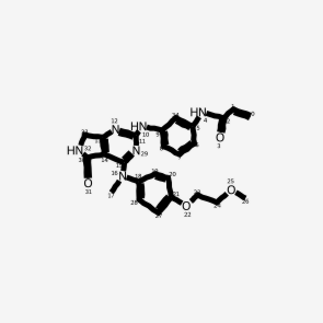 C=CC(=O)Nc1cccc(Nc2nc3c(c(N(C)c4ccc(OCCOC)cc4)n2)C(=O)NC3)c1